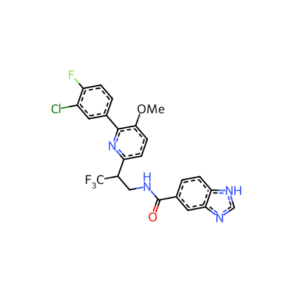 COc1ccc(C(CNC(=O)c2ccc3[nH]cnc3c2)C(F)(F)F)nc1-c1ccc(F)c(Cl)c1